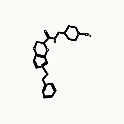 CN1CCC(CNC(=O)C2COc3ccc(OCc4ccccc4)cc3O2)CC1